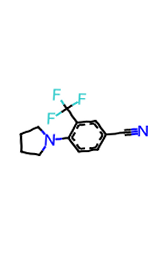 N#Cc1ccc(N2CCCC2)c(C(F)(F)F)c1